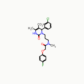 CC1=C(C(=O)O)C(c2cccc(Cl)c2)N(CCCN(C)C(=O)COc2ccc(F)cc2)C(=O)N1